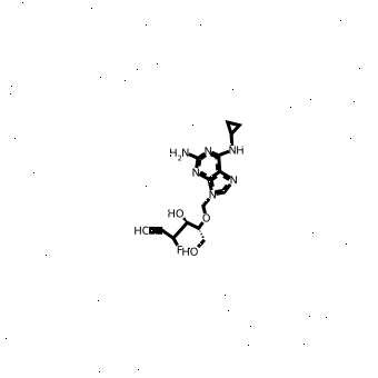 C#CC(F)[C@@H](O)[C@@H](CO)OCn1cnc2c(NC3CC3)nc(N)nc21